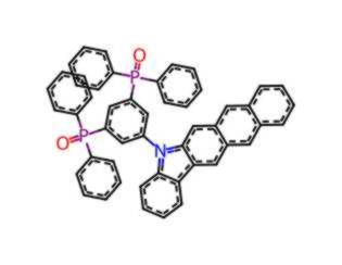 O=P(c1ccccc1)(c1ccccc1)c1cc(-n2c3ccccc3c3cc4cc5ccccc5cc4cc32)cc(P(=O)(c2ccccc2)c2ccccc2)c1